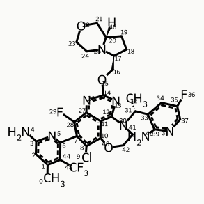 Cc1cc(N)nc(-c2c(Cl)c3c4c(nc(OC[C@@H]5CC[C@H]6COCCN65)nc4c2F)N([C@H](C)c2cc(F)cnc2N)CCO3)c1C(F)(F)F